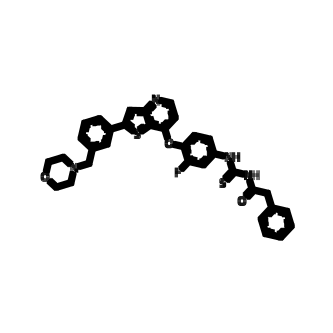 O=C(Cc1ccccc1)NC(=S)Nc1ccc(Oc2ccnc3cc(-c4cccc(CN5CCOCC5)c4)sc23)c(F)c1